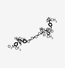 Cc1ncsc1-c1ccc(CNC(=O)[C@@H]2C[C@@H](C)CN2C(=O)[C@@H](NC(=O)COCCOCCOCCOc2ccc(N3C(=S)N(c4ccc([N+](=O)[O-])c(C(F)(F)F)c4)C(=O)C3(C)C)cc2)C(C)(C)C)cc1